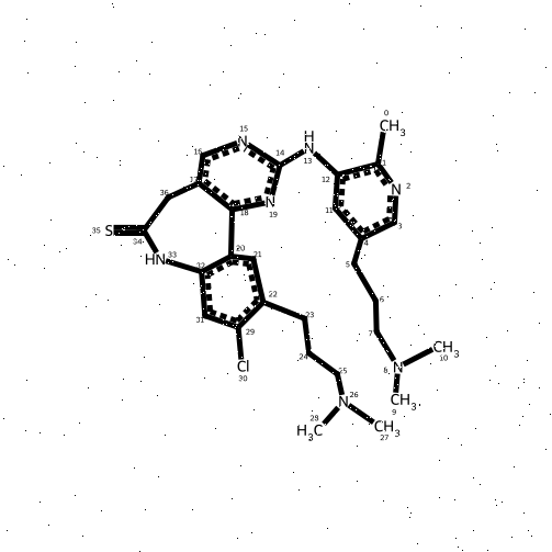 Cc1ncc(CCCN(C)C)cc1Nc1ncc2c(n1)-c1cc(CCCN(C)C)c(Cl)cc1NC(=S)C2